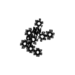 C1=CC(c2nc(-c3ccccc3)nc(-c3cccc4oc5c(-n6c7ccccc7c7ccc(-c8ccccc8)cc76)cccc5c34)n2)=CC(c2ccccc2)C1